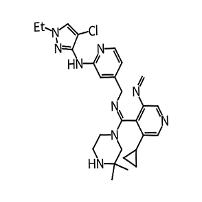 C=Nc1cncc(C2CC2)c1/C(=N\Cc1ccnc(Nc2nn(CC)cc2Cl)c1)N1CCNC(C)(C)C1